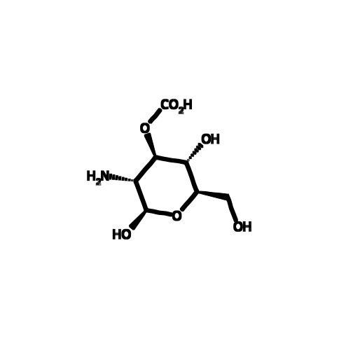 N[C@@H]1[C@@H](OC(=O)O)[C@H](O)[C@@H](CO)O[C@H]1O